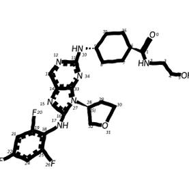 O=C(NCCO)[C@H]1CC[C@H](Nc2ncc3nc(Nc4c(F)cc(F)cc4F)n([C@H]4CCOC4)c3n2)CC1